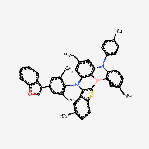 Cc1cc2c3c(c1)N(c1c(C)cc(-c4coc5ccccc45)cc1C)c1c(sc4ccc(C(C)(C)C)cc14)B3c1cc(C(C)(C)C)ccc1N2c1ccc(C(C)(C)C)cc1